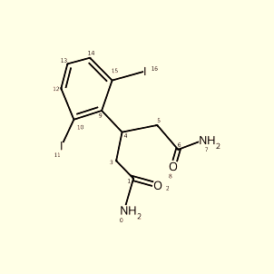 NC(=O)CC(CC(N)=O)c1c(I)cccc1I